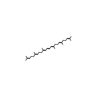 CC(C)=CCC/C(C)=C/CC/C(C)=C/C=C/C=C(\C)CC/C=C(\C)CCC=C(C)C